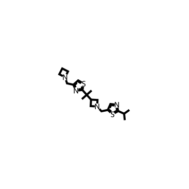 CC(C)c1ncc(CN2CC(C(C)(C)c3nc(CN4CCC4)cs3)C2)s1